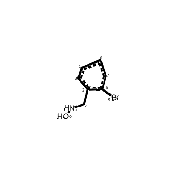 ONCc1ccccc1Br